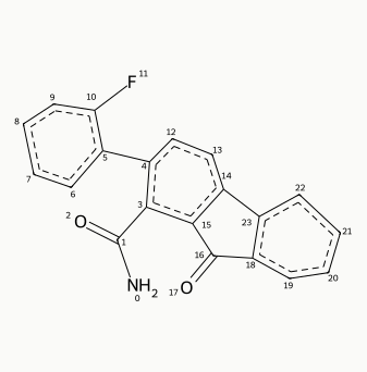 NC(=O)c1c(-c2ccccc2F)ccc2c1C(=O)c1ccccc1-2